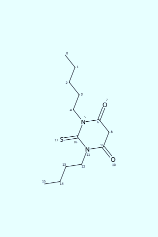 CCCCCN1C(=O)CC(=O)N(CCCC)C1=S